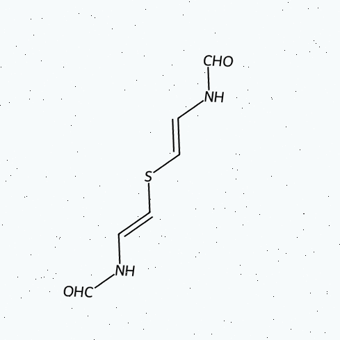 O=CN/C=C/S/C=C/NC=O